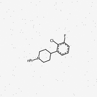 CCCN1CCC(c2cccc(F)c2Cl)CC1